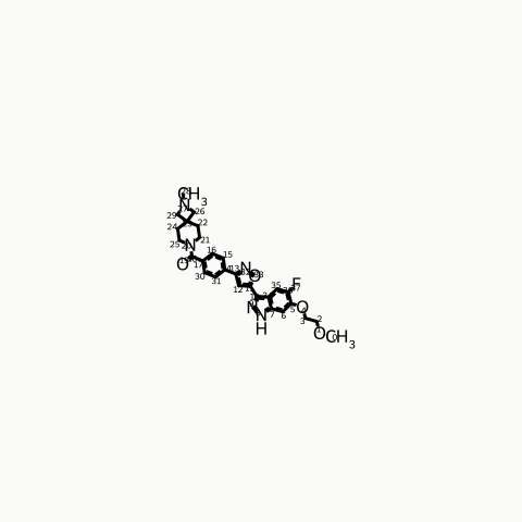 COCCOc1cc2[nH]nc(-c3cc(-c4ccc(C(=O)N5CCC6(CC5)CN(C)C6)cc4)no3)c2cc1F